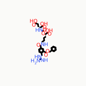 N=C(N)NCc1ccc(C(=O)NCCCC[C@H](OC(=O)N[C@@H](CCC(=O)O)C(=O)O)C(=O)O)cc1C(=O)OCc1ccccc1